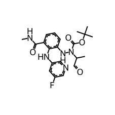 CNC(=O)c1cccc(NN(C(=O)OC(C)(C)C)C(C)C=O)c1Nc1cncc(F)c1